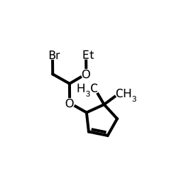 CCOC(CBr)OC1C=CCC1(C)C